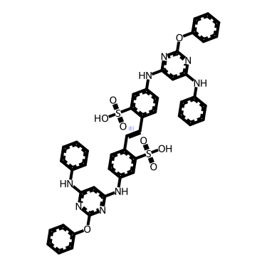 O=S(=O)(O)c1cc(Nc2cc(Nc3ccccc3)nc(Oc3ccccc3)n2)ccc1/C=C/c1ccc(Nc2cc(Nc3ccccc3)nc(Oc3ccccc3)n2)cc1S(=O)(=O)O